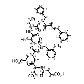 Cc1ccccc1C[C@H](NC(=O)[C@H](CCC(=O)O)NC(=O)[C@H](CC(=O)O)NC(=O)CCC(=O)O)C(=O)N[C@H](C(=O)N[C@@H](CC(C)C)C(=O)NC(Cc1cnco1)C(=O)C(=O)NCc1ccccc1)C(C)(C)C